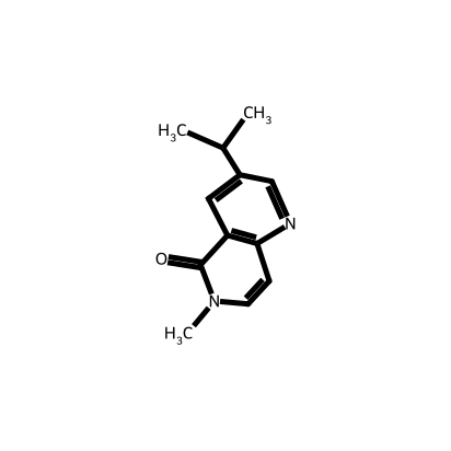 CC(C)c1cnc2ccn(C)c(=O)c2c1